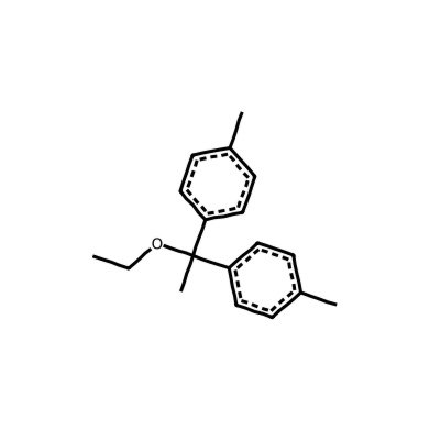 CCOC(C)(c1ccc(C)cc1)c1ccc(C)cc1